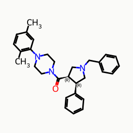 Cc1ccc(C)c(N2CCN(C(=O)[C@H]3CN(Cc4ccccc4)C[C@H]3c3ccccc3)CC2)c1